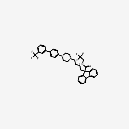 O=C(NCC(F)(F)F)C1(CCCCN2CCN(c3ccc(-c4cccc(C(F)(F)F)c4)cc3)CC2)c2ccccc2-c2ccccc21